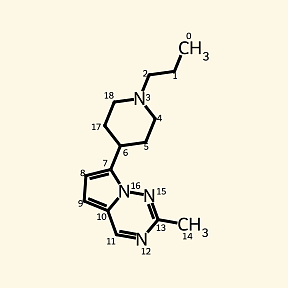 CCCN1CCC(c2ccc3cnc(C)nn23)CC1